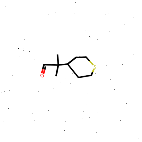 CC(C)(C=O)C1CCSCC1